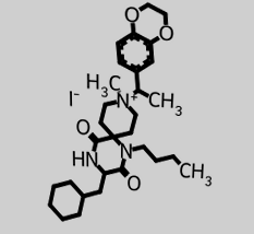 CCCCN1C(=O)C(CC2CCCCC2)NC(=O)C12CC[N+](C)(C(C)c1ccc3c(c1)OCCO3)CC2.[I-]